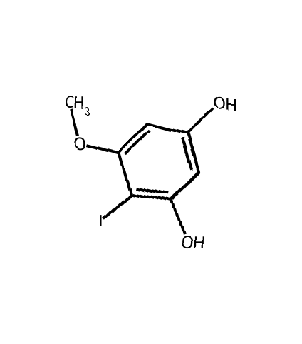 COc1cc(O)cc(O)c1I